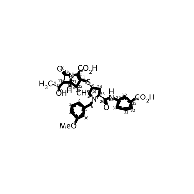 COc1cccc(CN2C[C@@H](SC3=C(C(=O)O)N4C(=O)[C@H]([C@@H](C)O)[C@H]4[C@H]3C)C[C@H]2C(=O)Nc2cccc(C(=O)O)c2)c1